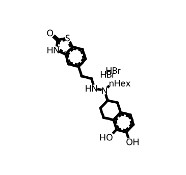 Br.Br.CCCCCCN(NCCc1ccc2sc(=O)[nH]c2c1)C1CCc2c(ccc(O)c2O)C1